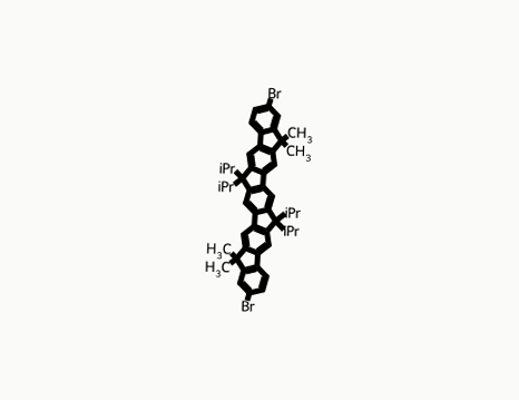 CC(C)C1(C(C)C)c2cc3c(cc2-c2cc4c(cc21)-c1cc2c(cc1C4(C(C)C)C(C)C)-c1ccc(Br)cc1C2(C)C)C(C)(C)c1cc(Br)ccc1-3